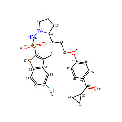 Cc1c(S(=O)(=O)NN2CCCC2CCCOc2ccc(C(=O)C3CC3)cc2)sc2ccc(Cl)cc12